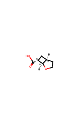 O=C(O)[C@@H]1C[C@H]2CCO[C@H]21